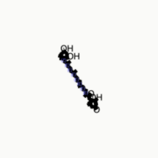 CC1=CC(=O)CC(C)(C)[C@@]1(O)CC(=O)/C(C)=C/C=C/C(C)=C/C=C/C=C(C)/C=C/C=C(C)/C=C1/C(C)(C)C[C@H](O)CC1(C)O